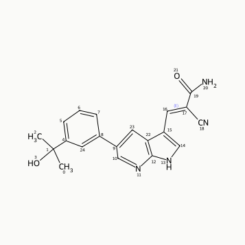 CC(C)(O)c1cccc(-c2cnc3[nH]cc(/C=C(\C#N)C(N)=O)c3c2)c1